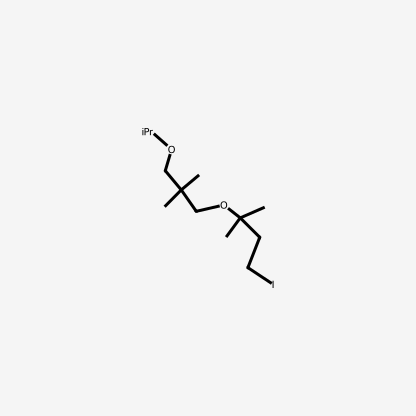 CC(C)OCC(C)(C)COC(C)(C)CCI